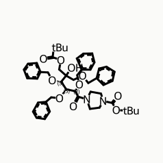 CC(C)(C)OC(=O)N1CCN(C(=O)[C@H](OCc2ccccc2)[C@@H](OCc2ccccc2)[C@H](OCc2ccccc2)C(O)(COCc2ccccc2)COC(=O)C(C)(C)C)CC1